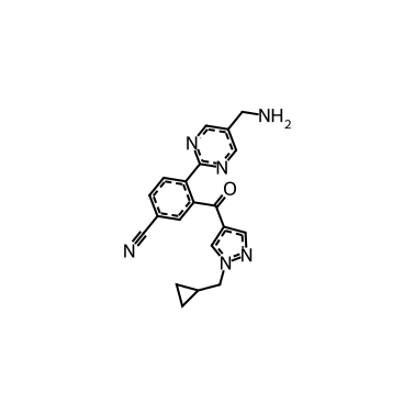 N#Cc1ccc(-c2ncc(CN)cn2)c(C(=O)c2cnn(CC3CC3)c2)c1